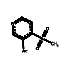 CC(=O)c1cnccc1S(C)(=O)=O